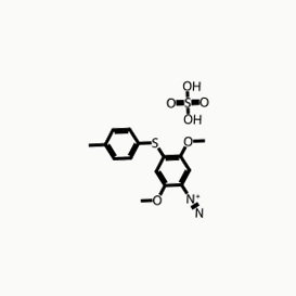 COc1cc(Sc2ccc(C)cc2)c(OC)cc1[N+]#N.O=S(=O)(O)O